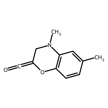 Cc1ccc2c(c1)N(C)CC(=C=O)O2